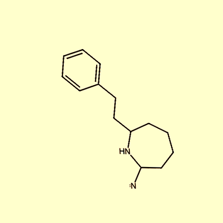 [N]C1CCCCC(CCc2ccccc2)N1